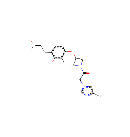 CCCc1cn(CC(=O)N2CC(Oc3ccc(CCB(O)O)c(O)c3C(=O)O)C2)cn1